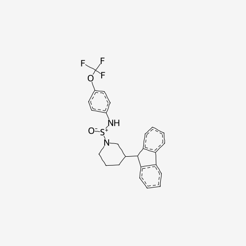 [O-][S+](Nc1ccc(OC(F)(F)F)cc1)N1CCCC(C2c3ccccc3-c3ccccc32)C1